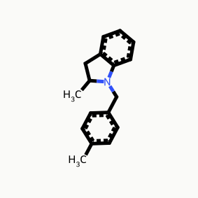 Cc1ccc(CN2c3ccccc3CC2C)cc1